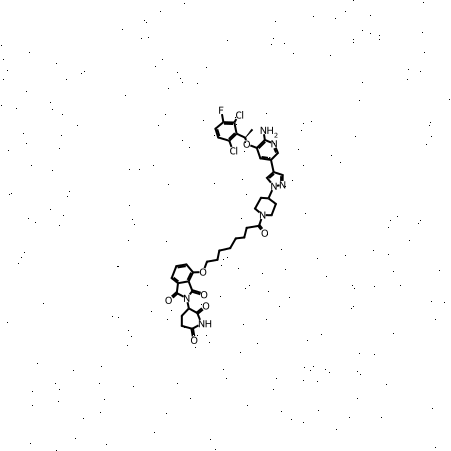 C[C@@H](Oc1cc(-c2cnn(C3CCN(C(=O)CCCCCCCOc4cccc5c4C(=O)N(C4CCC(=O)NC4=O)C5=O)CC3)c2)cnc1N)c1c(Cl)ccc(F)c1Cl